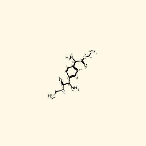 CCOC(=O)C(N)c1ccc(C(N)C(=O)OCC)cc1